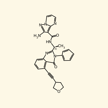 C[C@H](NC(=O)c1c(N)nn2cccnc12)c1nc2cccc(C#CC3CCOC3)c2c(=O)n1-c1ccccc1